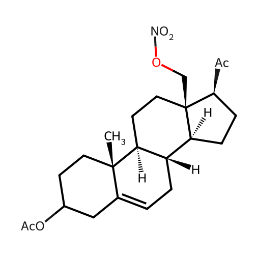 CC(=O)OC1CC[C@@]2(C)C(=CC[C@H]3[C@@H]4CC[C@H](C(C)=O)[C@@]4(CO[N+](=O)[O-])CC[C@@H]32)C1